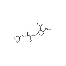 COc1ccc(/C=C/C(=O)NCCc2ccccc2)cc1C(F)F